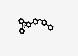 C1=C(Cc2ccc(-c3ccccc3)cc2)CCC(c2ccc3c(c2)c2ccccc2n3-c2ccccc2)=C1